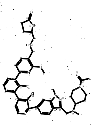 COc1nc(-c2cccc(-c3ccnc(-c4ccc5c(CN(C)C6CCN(C(C)=O)CC6)nn(C)c5c4)c3Cl)c2Cl)ccc1CNCC1CCC(=O)N1